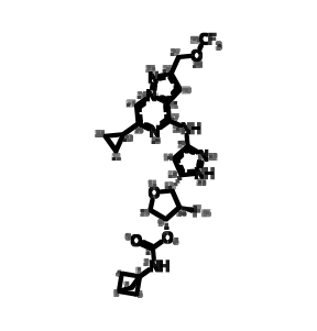 O=C(NC12CC(C1)C2)O[C@@H]1CO[C@H](c2cc(Nc3nc(C4CC4)cn4nc(COC(F)(F)F)cc34)n[nH]2)[C@H]1F